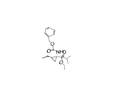 C=C[C@@H]1C[C@]1(NC(=O)OCc1ccccc1)P(=O)(OCC)C(C)C